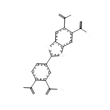 O=C(O)c1ccc(-c2nc3cc(C(=O)O)c(C(=O)O)cc3[nH]2)cc1C(=O)O